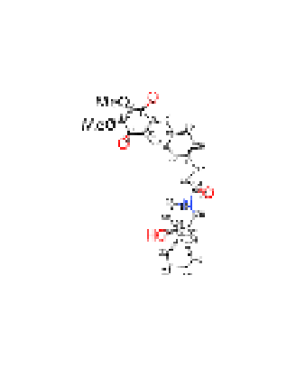 COC1=C(OC)C(=O)C(Cc2ccc(CCC(=O)N3CCC(O)(c4ccccc4)CC3)cc2)=C(C)C1=O